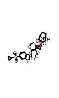 COc1c(Nc2ccc(S(=O)(=O)C3CC3)cc2F)ncnc1O[C@H]1CC2CC[C@@H](C1)N2S(=O)(=O)C1CC1